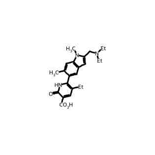 CCc1cc(C(=O)O)c(=O)[nH]c1-c1cc2cc(CN(CC)CC)n(C)c2cc1C